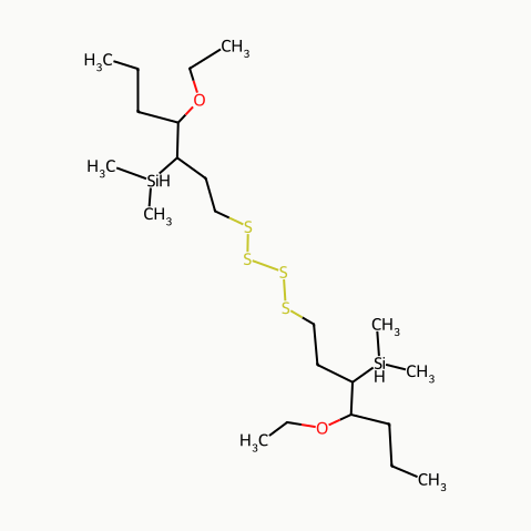 CCCC(OCC)C(CCSSSSCCC(C(CCC)OCC)[SiH](C)C)[SiH](C)C